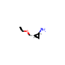 CCOC[C@H]1C[C@@H]1N